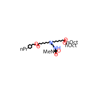 CCCCCCCCC(CCCCCCCC)OC(=O)CCCCCCCN(CCCCCCCC(=O)OCCC1CCC(CCC)CC1)CCCNc1c(NC)c(=O)c1=O